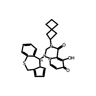 O=C1c2c(O)c(=O)ccn2N([C@@H]2c3ccccc3SCC3=CC=CC32)CN1C1CC2(CCC2)C1